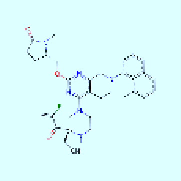 C=C(F)C(=O)[C@]1(CC#N)CN(c2nc(OC[C@@H]3CCC(=O)N3C)nc3c2CCN(c2cccc4cccc(C)c24)C3)CCN1